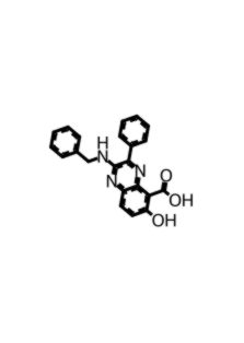 O=C(O)c1c(O)ccc2nc(NCc3ccccc3)c(-c3ccccc3)nc12